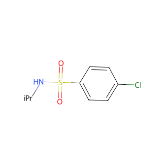 CC(C)NS(=O)(=O)c1ccc(Cl)cc1